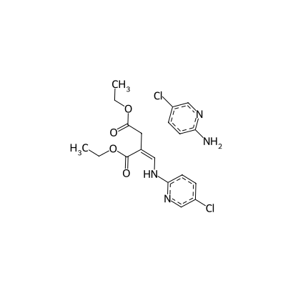 CCOC(=O)CC(=CNc1ccc(Cl)cn1)C(=O)OCC.Nc1ccc(Cl)cn1